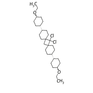 CCO[C@H]1CC[C@H](C2CCC3(CC2)CC2(CCC([C@H]4CC[C@H](OCC)CC4)CC2)C3(Cl)Cl)CC1